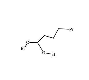 CCOC(CCCC(C)C)OCC